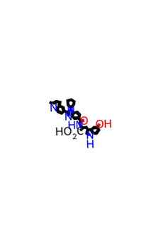 Cc1ccc2cc(-c3nc4cc(C(=O)NC(Cc5c[nH]c6ccc(O)cc56)C(=O)O)ccc4n3C3CCCCC3)ccc2n1